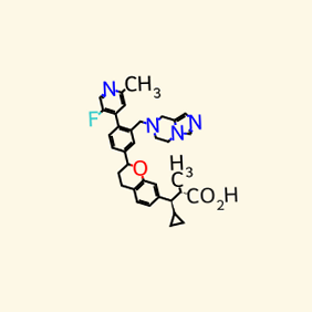 Cc1cc(-c2ccc(C3CCc4ccc([C@H](C5CC5)[C@H](C)C(=O)O)cc4O3)cc2CN2CCn3cncc3C2)c(F)cn1